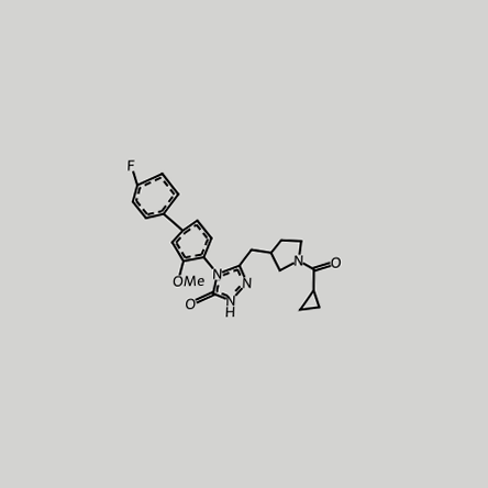 COc1cc(-c2ccc(F)cc2)ccc1-n1c(CC2CCN(C(=O)C3CC3)C2)n[nH]c1=O